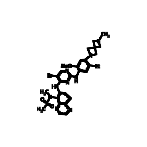 CCc1cc(Nc2ncc(Br)c(Nc3ccc4nccnc4c3N(C)S(C)(=O)=O)n2)c(OC)cc1N1CC2(CN(C)C2)C1